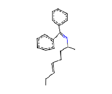 CC/C=C/CCC(C)N=C(c1ccccc1)c1ccccc1